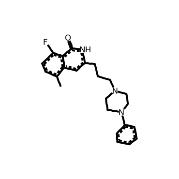 Cc1ccc(F)c2c(=O)[nH]c(CCCN3CCN(c4ccccc4)CC3)cc12